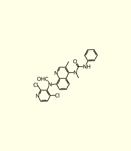 Cc1cnc2c(N(C=O)c3c(Cl)ccnc3Cl)cccc2c1N(C)C(=O)Nc1ccccc1